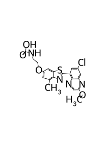 COc1cnc2c(-c3nc4c(C)cc(OCCNC(=O)O)cc4s3)cc(Cl)cc2n1